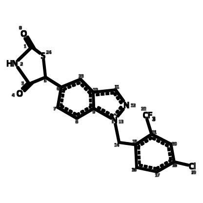 O=C1NC(=O)C(c2ccc3c(cnn3Cc3ccc(Cl)cc3C(F)(F)F)c2)S1